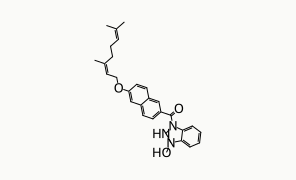 CC(C)=CCCC(C)=CCOc1ccc2cc(C(=O)N3NN(O)c4ccccc43)ccc2c1